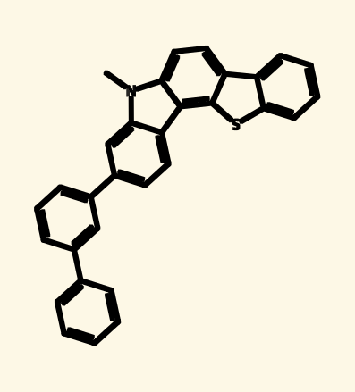 Cn1c2cc(-c3cccc(-c4ccccc4)c3)ccc2c2c3sc4ccccc4c3ccc21